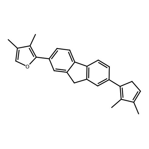 CC1=CCC(c2ccc3c(c2)Cc2cc(-c4occ(C)c4C)ccc2-3)=C1C